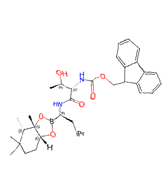 CC(C)C[C@H](NC(=O)[C@@H](NC(=O)OCC1c2ccccc2-c2ccccc21)[C@@H](C)O)B1O[C@@H]2CCC(C)(C)[C@H](C)[C@]2(C)O1